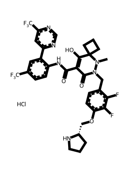 CN1N(Cc2ccc(OC[C@@H]3CCCN3)c(F)c2F)C(=O)C(C(=O)Nc2ccc(C(F)(F)F)cc2-c2cc(C(F)(F)F)ncn2)=C(O)C12CCC2.Cl